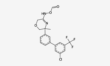 CC1(c2cccc(-c3cc(Cl)cc(C(F)(F)F)c3)c2)COCC(NOC=O)=N1